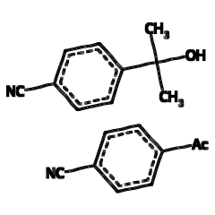 CC(=O)c1ccc(C#N)cc1.CC(C)(O)c1ccc(C#N)cc1